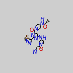 N#CCC(=O)N1CC[C@H](Nc2cc(C(=O)N3CCC(NC(=O)C4CC4)CC3)nc(-c3cnn4ccsc34)n2)C1